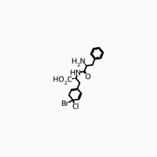 N[C@@H](Cc1ccccc1)C(=O)N[C@@H](CC1=CCC(Cl)(Br)C=C1)C(=O)O